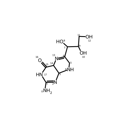 NC1=NC2NCC(C(O)C(O)CO)=NC2C(=O)N1